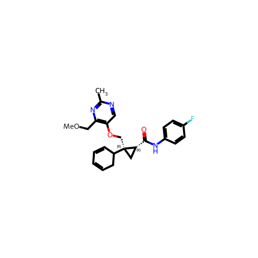 COCc1nc(C)ncc1OC[C@@]1(C2C=CC=CC2)C[C@H]1C(=O)Nc1ccc(F)cc1